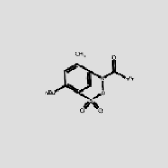 C.CCCCc1ccc2cc1S(=O)(=O)ON2C(=O)CCC